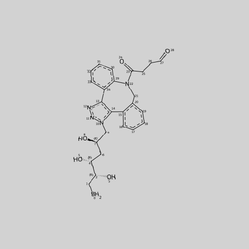 BC[C@@H](O)[C@H](O)C[C@@H](O)Cn1nnc2c1-c1ccccc1CN(C(=O)CCC=O)c1ccccc1-2